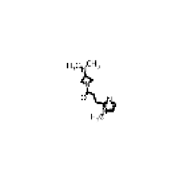 CN(C)C1CN(C(=O)CCc2nccn2C)C1